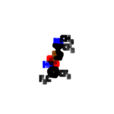 Cn1ncc(-c2ccc(S(=O)(=O)Nc3cc(C(F)(F)F)cc(C(F)(F)F)c3)s2)c1C(F)(F)F